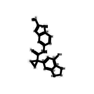 CC(C)(C)c1cc2cc(NC(=O)C3(c4cc(F)c5c(c4)OCO5)CC3)ccc2[nH]1